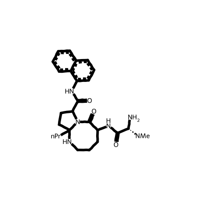 CCCC12CCC(C(=O)Nc3cccc4ccccc34)N1C(=O)C(NC(=O)[C@H](N)NC)CCCN2